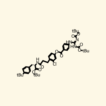 CC(C)(C)OC(=O)/N=C(/NC(=O)OC(C)(C)C)Nc1ccc(C(=O)Oc2ccc(CCC(=O)N[C@@H](Cc3ccc(C(C)(C)C)cc3)C(=O)OC(C)(C)C)c(Cl)c2)cc1